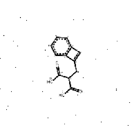 O=C(O)C(CC1=Cc2ccccc21)C(=O)O